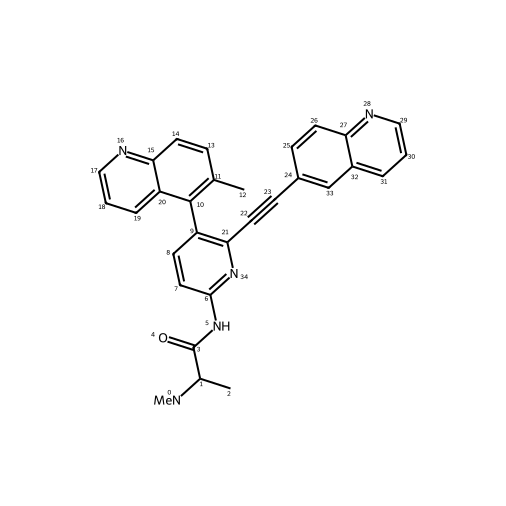 CNC(C)C(=O)Nc1ccc(-c2c(C)ccc3ncccc23)c(C#Cc2ccc3ncccc3c2)n1